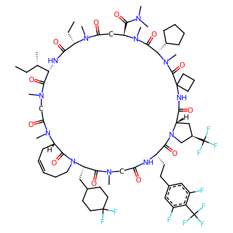 CC[C@H](C)[C@@H]1NC(=O)[C@H](CC)N(C)C(=O)C[C@@H](C(=O)N(C)C)N(C)C(=O)[C@H](C2CCCC2)N(C)C(=O)C2(CCC2)NC(=O)[C@@H]2C[C@@H](C(F)(F)F)CN2C(=O)[C@H](CCc2cc(F)c(C(F)(F)F)c(F)c2)NC(=O)CN(C)C(=O)[C@H](CC2CCC(F)(F)CC2)N2CC/C=C\C[C@@H](C2=O)N(C)C(=O)CN(C)C1=O